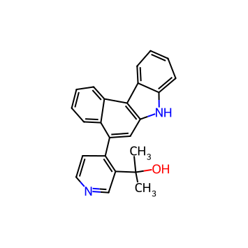 CC(C)(O)c1cnccc1-c1cc2[nH]c3ccccc3c2c2ccccc12